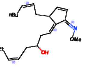 CC/C=C\CC(O)C/C=C1/C(=N\OC)C=CC1C/C=C\CCCC